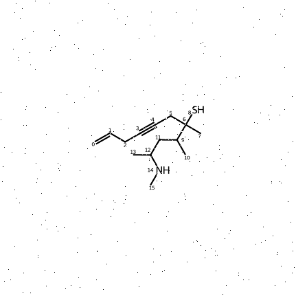 C=CCC#CCC(C)(S)C(C)CC(C)NC